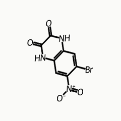 O=c1[nH]c2cc(Br)c([N+](=O)[O-])cc2[nH]c1=O